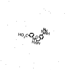 CCCC(Cc1ccc(-c2nnn[nH]2)cc1)C(=O)Nc1cccc(C(=O)O)c1